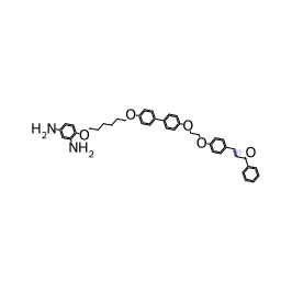 Nc1ccc(OCCCCCCOc2ccc(-c3ccc(OCCOc4ccc(/C=C/C(=O)c5ccccc5)cc4)cc3)cc2)c(N)c1